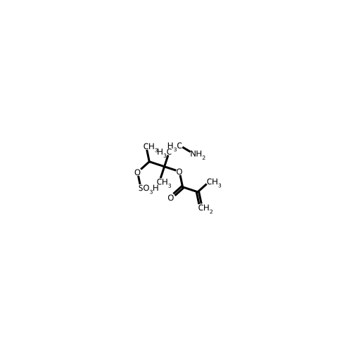 C=C(C)C(=O)OC(C)(C)C(C)OS(=O)(=O)O.CN